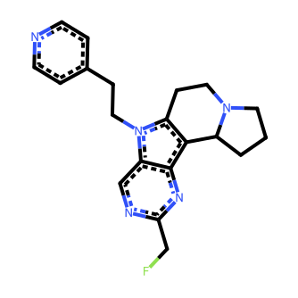 FCc1ncc2c(n1)c1c(n2CCc2ccncc2)CCN2CCCC12